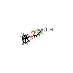 O=C(CC(F)(F)C(F)(F)S(=O)(=O)O)OCC12CC3CC(CC(C3)C1)C2